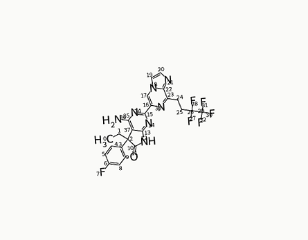 CCC1(c2ccc(F)cc2)C(=O)Nc2nc(-c3cn4ccnc4c(CCC(F)(F)C(F)(F)F)n3)nc(N)c21